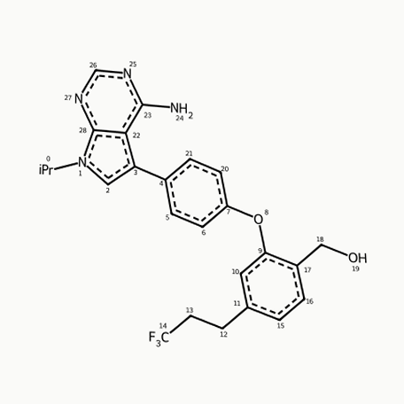 CC(C)n1cc(-c2ccc(Oc3cc(CCC(F)(F)F)ccc3CO)cc2)c2c(N)ncnc21